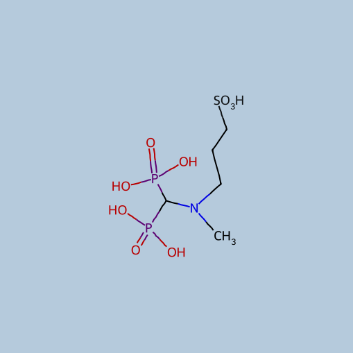 CN(CCCS(=O)(=O)O)C(P(=O)(O)O)P(=O)(O)O